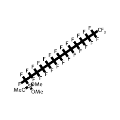 CO[Si](OC)(OC)C(F)(F)C(F)(F)C(F)(F)C(F)(F)C(F)(F)C(F)(F)C(F)(F)C(F)(F)C(F)(F)C(F)(F)C(F)(F)C(F)(F)C(F)(F)C(F)(F)F